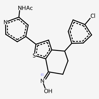 CC(=O)Nc1cc(-c2cc3c(s2)/C(=N/O)CCC3c2ccc(Cl)cc2)ccn1